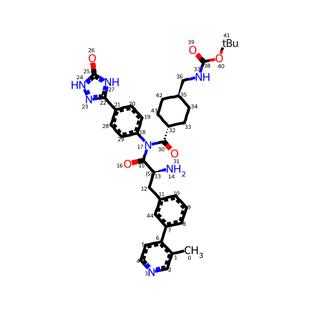 Cc1cnccc1-c1cccc(C[C@H](N)C(=O)N(c2ccc(-c3n[nH]c(=O)[nH]3)cc2)C(=O)[C@H]2CC[C@H](CNC(=O)OC(C)(C)C)CC2)c1